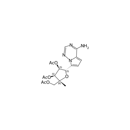 CC(=O)OC[C@@]1(C)O[C@@H](c2ccc3c(N)ncnn23)[C@H](OC(C)=O)[C@@H]1OC(C)=O